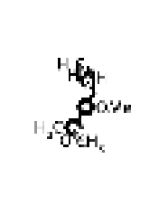 COc1cc(-c2cc(C)c(=O)n(C)c2)ccc1CN1C[C@@H]2C[C@H]1CN2C